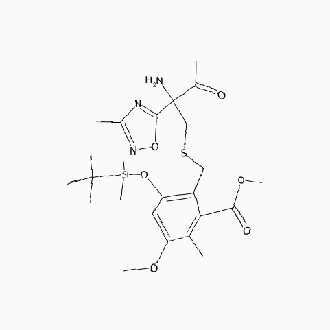 COC(=O)c1c(C)c(OC)cc(O[Si](C)(C)C(C)(C)C)c1CSCC(N)(C(C)=O)c1nc(C)no1